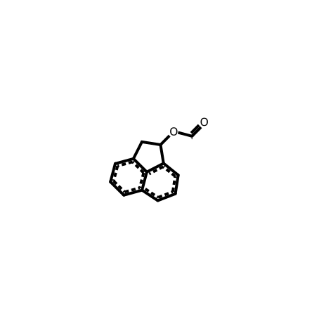 O=[C]OC1Cc2cccc3cccc1c23